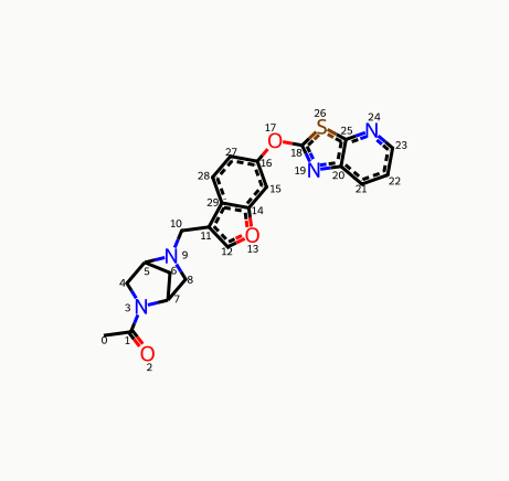 CC(=O)N1CC2CC1CN2Cc1coc2cc(Oc3nc4cccnc4s3)ccc12